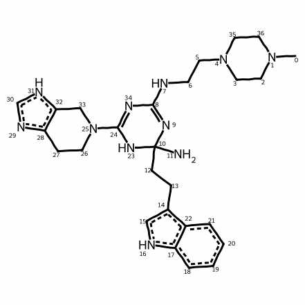 CN1CCN(CCNC2=NC(N)(CCc3c[nH]c4ccccc34)NC(N3CCc4nc[nH]c4C3)=N2)CC1